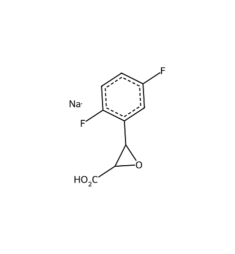 O=C(O)C1OC1c1cc(F)ccc1F.[Na]